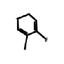 CC1=C[CH]CC=C1F